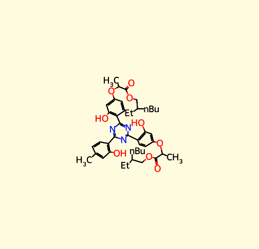 CCCCC(CC)COC(=O)C(C)Oc1ccc(-c2nc(-c3ccc(C)cc3O)nc(-c3ccc(OC(C)C(=O)OCC(CC)CCCC)cc3O)n2)c(O)c1